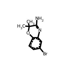 CC1(C)Oc2ccc(Br)cc2N=C1N